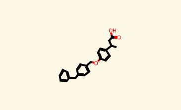 CC(CC(=O)O)c1ccc(OCc2ccc(Cc3ccccc3)cc2)cc1